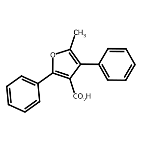 Cc1oc(-c2ccccc2)c(C(=O)O)c1-c1ccccc1